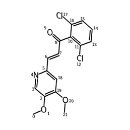 COc1cnc(C=CC(=O)c2c(Cl)cccc2Cl)cc1OC